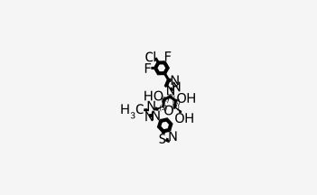 Cc1nc([C@@H]2O[C@H](CO)[C@H](O)[C@H](n3cc(-c4cc(F)c(Cl)c(F)c4)nn3)[C@H]2O)n(-c2ccc3ncsc3c2)n1